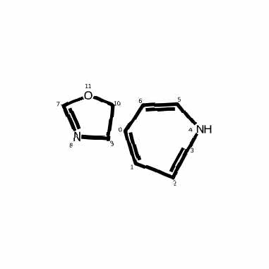 C1=CC=CNC=C1.C1=NCCO1